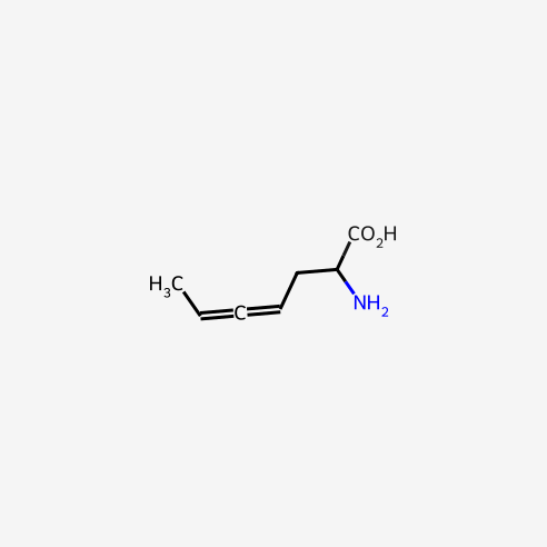 CC=C=CCC(N)C(=O)O